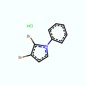 Brc1ccn(-c2ccccc2)c1Br.Cl